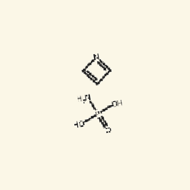 C1=CN=C1.NP(=O)(O)O